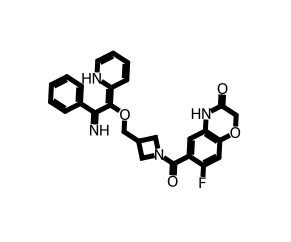 N=C(/C(OCC1CN(C(=O)c2cc3c(cc2F)OCC(=O)N3)C1)=C1/C=CC=CN1)c1ccccc1